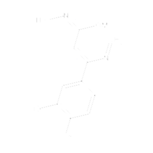 C=N/C(=C\C(=N/C)OC)c1ccc(C(C)C)c(O)c1